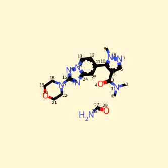 CN(C)C(=O)c1cnn(C)c1-c1ccn2nc(N3CCOCC3)nc2c1.NC=O